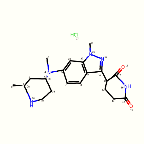 C[C@H]1C[C@H](N(C)c2ccc3c(C4CCC(=O)NC4=O)nn(C)c3c2)CCN1.Cl